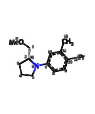 COC[C@H]1CCCN1c1ccc(C(C)C)c(C)c1